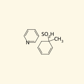 CC1(S(=O)(=O)O)C=CC=CC1.c1ccncc1